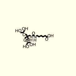 O=C(O)CCCCCNC(=O)NCC(CO)(COC(CO)CO)COC(CO)CO